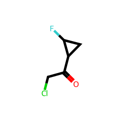 O=C(CCl)C1CC1F